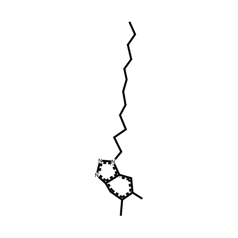 CCCCCCCCCCCCn1nnc2cc(C)c(C)cc21